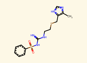 Cc1nc[nH]c1CSCCNC(=N)NS(=O)(=O)c1ccccc1